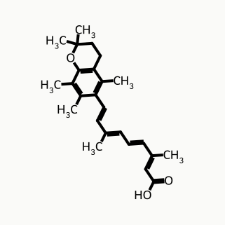 CC(C=Cc1c(C)c(C)c2c(c1C)CCC(C)(C)O2)=CC=CC(C)=CC(=O)O